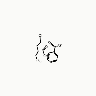 CC=O.CCCCCCl.O=[N+]([O-])c1ccccc1